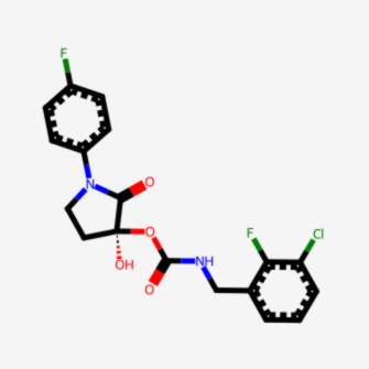 O=C(NCc1cccc(Cl)c1F)O[C@@]1(O)CCN(c2ccc(F)cc2)C1=O